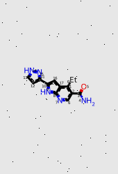 CCc1c(C(N)=O)cnc2[nH]c(-c3cc[nH]n3)cc12